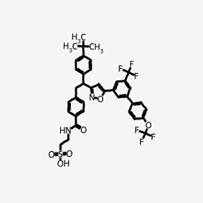 CC(C)(C)c1ccc(C(Cc2ccc(C(=O)NCCS(=O)(=O)O)cc2)c2cc(-c3cc(-c4ccc(OC(F)(F)F)cc4)cc(C(F)(F)F)c3)on2)cc1